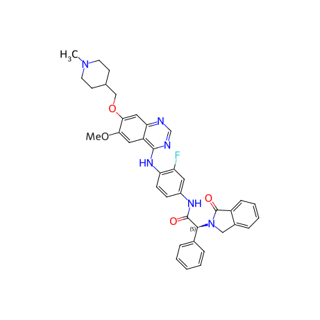 COc1cc2c(Nc3ccc(NC(=O)[C@H](c4ccccc4)N4Cc5ccccc5C4=O)cc3F)ncnc2cc1OCC1CCN(C)CC1